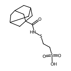 O=C(NSCCS(=O)(=O)O)C12CC3CC(CC(C3)C1)C2